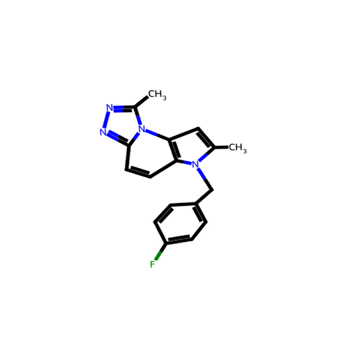 Cc1cc2c(ccc3nnc(C)n32)n1Cc1ccc(F)cc1